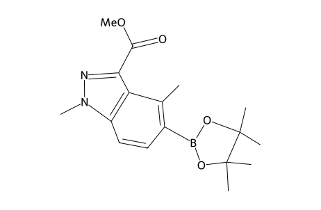 COC(=O)c1nn(C)c2ccc(B3OC(C)(C)C(C)(C)O3)c(C)c12